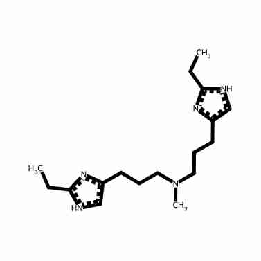 CCc1nc(CCCN(C)CCCc2c[nH]c(CC)n2)c[nH]1